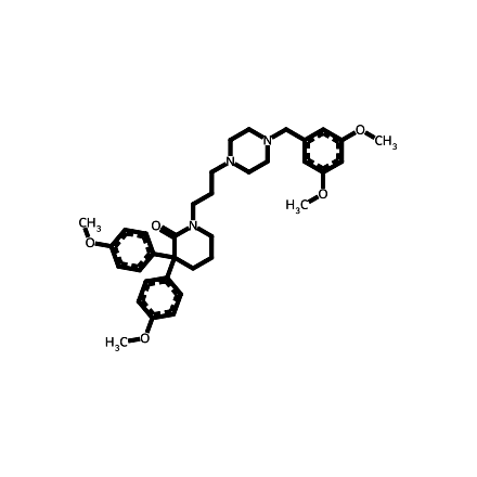 COc1ccc(C2(c3ccc(OC)cc3)CCCN(CCCN3CCN(Cc4cc(OC)cc(OC)c4)CC3)C2=O)cc1